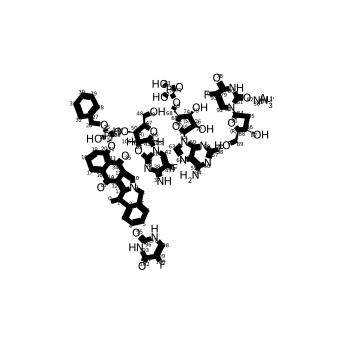 CC1c2ccccc2Cn2cc3c(c21)C(=O)c1cccc(OP(=O)(O)OCc2ccccc2)c1C3=O.N.N=c1nc2n(cc1F)[C@@H]1O[C@H](CO)[C@@H](O)[C@@H]1O2.Nc1nc(F)nc2c1ncn2[C@@H]1O[C@H](COP(=O)(O)O)[C@@H](O)[C@@H]1O.O=c1[nH]c(=O)n([C@H]2C[C@H](O)[C@@H](CO)O2)cc1F.O=c1[nH]cc(F)c(=O)[nH]1.[Au]